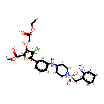 CCOC(=O)COc1c(C(=O)OC)sc(-c2cccc(NC3CCN(S(=O)(=O)Cc4ccccc4N)CC3)c2)c1Br